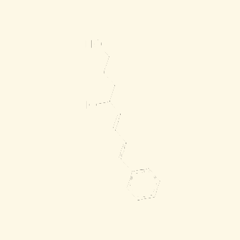 OCCCC(O)C=CC=Cc1ccccc1